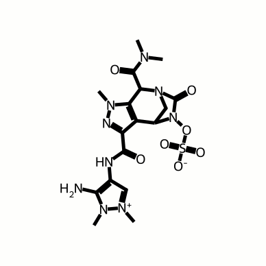 CN(C)C(=O)C1c2c(c(C(=O)Nc3c[n+](C)n(C)c3N)nn2C)C2CN1C(=O)N2OS(=O)(=O)[O-]